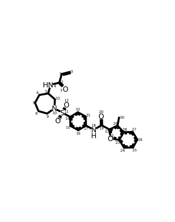 C=CC(=O)NC1CCCCN(S(=O)(=O)c2ccc(NC(=O)c3oc4ccccc4c3C)cc2)C1